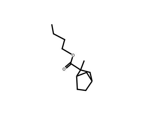 CCCCOC(=O)C1(C)CC2CCC1C2